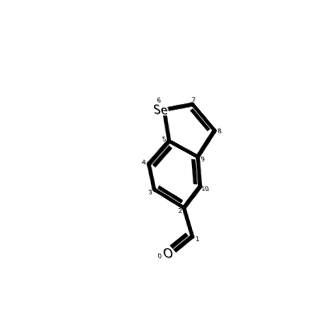 O=Cc1ccc2[se]ccc2c1